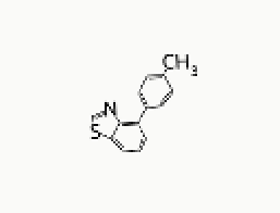 Cc1ccc(-c2cccc3scnc23)cc1